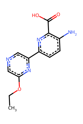 CCOc1cncc(-c2ccc(N)c(C(=O)O)n2)n1